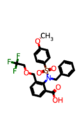 COc1ccc(S(=O)(=O)N(Cc2ccccc2)c2c(COCC(F)(F)F)cccc2C(=O)O)cc1